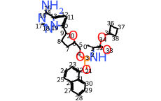 C[C@H](NP(OCC1CCC(c2ccc3c(N)ncnn23)O1)Oc1cccc2ccccc12)C(=O)OC1CCC1